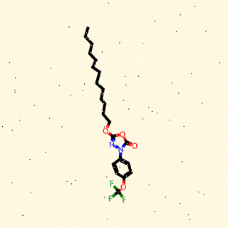 CCCCCCCCCCCCCOc1nn(-c2ccc(OC(F)(F)F)cc2)c(=O)o1